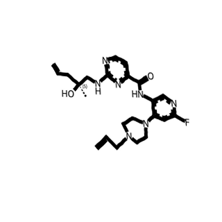 C=CCN1CCN(c2cc(F)ncc2NC(=O)c2ccnc(NC[C@@](C)(O)CC=C)n2)CC1